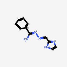 NC(=NN=Cc1ncc[nH]1)c1ccccc1